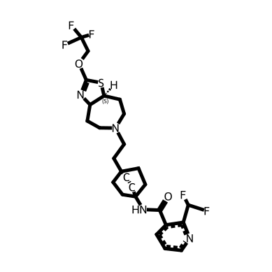 O=C(NC12CCC(CCN3CCC4N=C(OCC(F)(F)F)S[C@H]4CC3)(CC1)CC2)c1cccnc1C(F)F